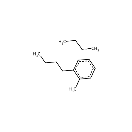 CCCC.CCCCc1ccccc1C